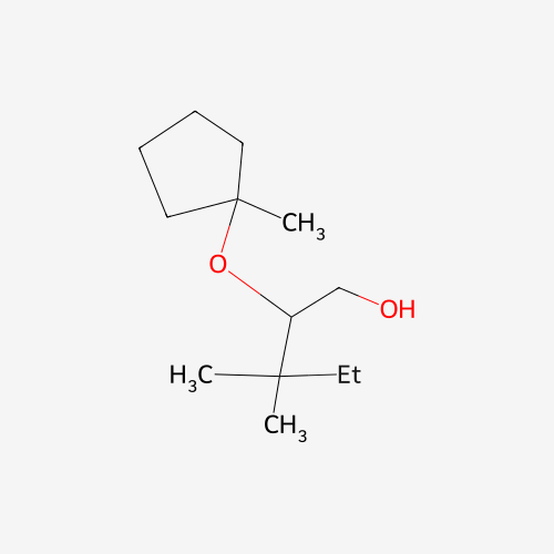 CCC(C)(C)C(CO)OC1(C)CCCC1